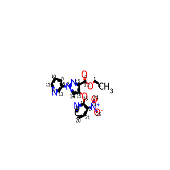 CCOC(=O)c1nn(-c2cccnc2)cc1Oc1ncccc1[N+](=O)[O-]